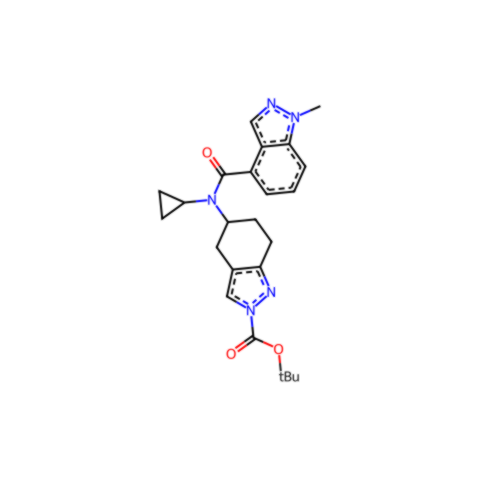 Cn1ncc2c(C(=O)N(C3CC3)C3CCc4nn(C(=O)OC(C)(C)C)cc4C3)cccc21